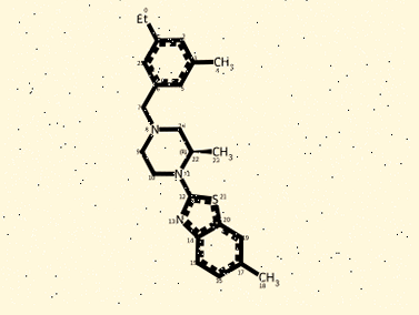 CCc1cc(C)cc(CN2CCN(c3nc4ccc(C)cc4s3)[C@H](C)C2)c1